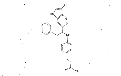 O=C(O)CCc1ccc(NC(Cc2ccccc2)c2ccc3c(Cl)c[nH]c3c2)cc1